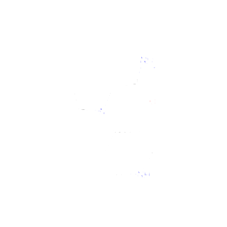 NC(=O)C1CCCN1C1CCNCC1